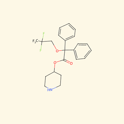 O=C(OC1CCNCC1)C(OCC(F)(F)C(F)(F)F)(c1ccccc1)c1ccccc1